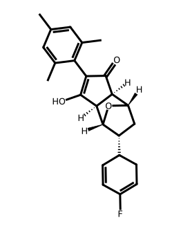 Cc1cc(C)c(C2=C(O)[C@@H]3[C@@H]4O[C@@H](C[C@@H]4C4C=CC(F)=CC4)[C@@H]3C2=O)c(C)c1